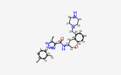 Cc1ccc(-n2nc(C)c(C(=O)N[C@@H]3COc4cccc(CN5CCNCC5)c4C3)n2)c(C)c1